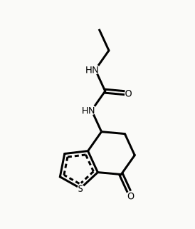 CCNC(=O)NC1CCC(=O)c2sccc21